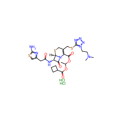 CC(OC(=O)C1=C(CSc2nnnn2CCN(C)C)CS[C@H]2[C@H](NC(=O)Cc3csc(N)n3)C(=O)N12)OC(=O)C1CCC1.Cl.Cl